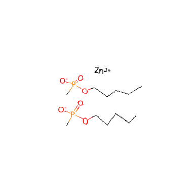 CCCCCOP(C)(=O)[O-].CCCCCOP(C)(=O)[O-].[Zn+2]